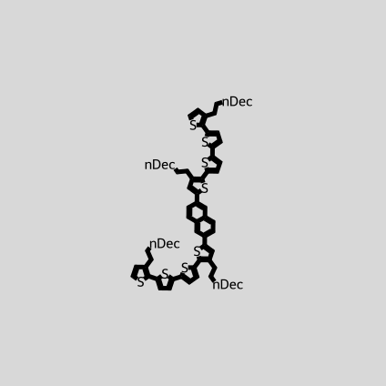 CCCCCCCCCCCCc1ccsc1-c1ccc(-c2ccc(-c3sc(-c4ccc5cc(-c6cc(CCCCCCCCCCCC)c(-c7ccc(-c8ccc(-c9sccc9CCCCCCCCCCCC)s8)s7)s6)ccc5c4)cc3CCCCCCCCCCCC)s2)s1